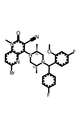 COc1cc(F)ccc1C(c1ccc(F)cc1)N1C[C@H](C)N(c2c(C#N)c(=O)n(C)c3ccc(Br)nc23)C[C@@H]1C